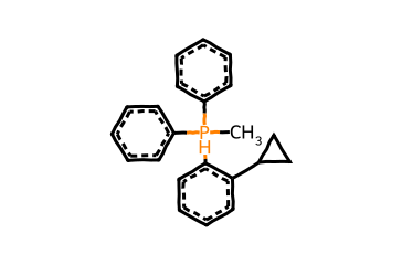 C[PH](c1ccccc1)(c1ccccc1)c1ccccc1C1CC1